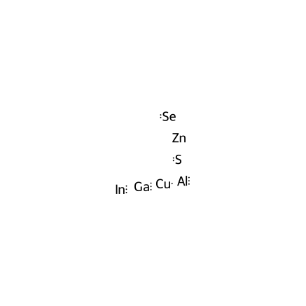 [Al].[Cu].[Ga].[In].[S].[Se].[Zn]